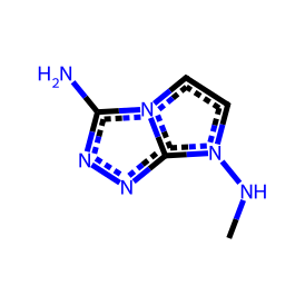 CNn1ccn2c(N)nnc12